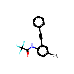 Cc1ccc(NC(=O)C(F)(F)F)c(C#Cc2ccccc2)c1